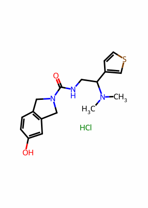 CN(C)C(CNC(=O)N1Cc2ccc(O)cc2C1)c1ccsc1.Cl